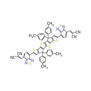 Cc1ccc(C2(c3ccc(C)cc3)c3cc(-c4ccc(C=C(C#N)C#N)c5nsnc45)sc3-c3sc4c5c(sc4c32)-c2sc(-c3ccc(C=C(C#N)C#N)c4nsnc34)cc2C5(c2ccc(C)cc2)c2ccc(C)cc2)cc1